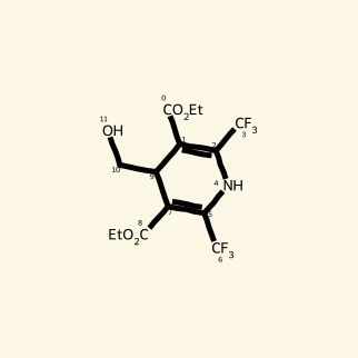 CCOC(=O)C1=C(C(F)(F)F)NC(C(F)(F)F)=C(C(=O)OCC)C1CO